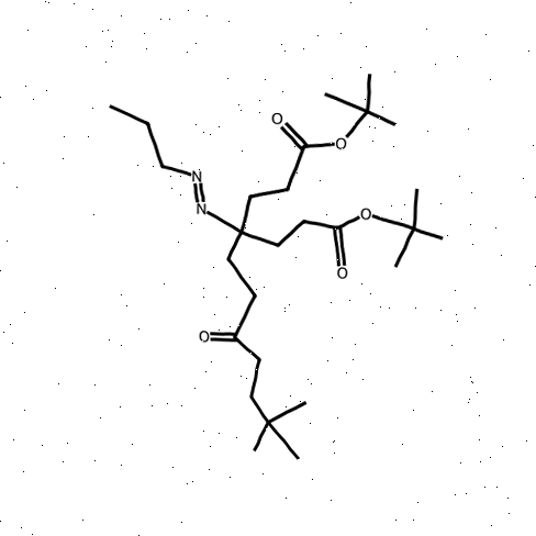 CCCN=NC(CCC(=O)CCC(C)(C)C)(CCC(=O)OC(C)(C)C)CCC(=O)OC(C)(C)C